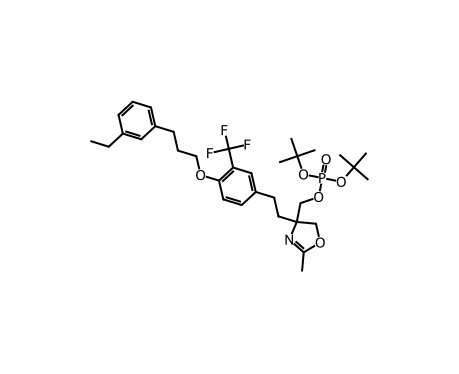 CCc1cccc(CCCOc2ccc(CCC3(COP(=O)(OC(C)(C)C)OC(C)(C)C)COC(C)=N3)cc2C(F)(F)F)c1